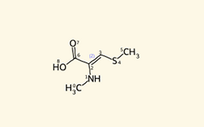 CN/C(=C\SC)C(=O)O